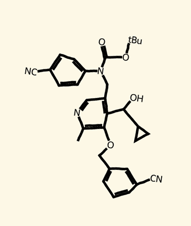 Cc1ncc(CN(C(=O)OC(C)(C)C)c2ccc(C#N)cc2)c(C(O)C2CC2)c1OCc1cccc(C#N)c1